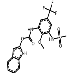 COc1c(NC(=O)Oc2cc3ccccc3[nH]2)cc(C(F)(F)F)cc1NS(C)(=O)=O